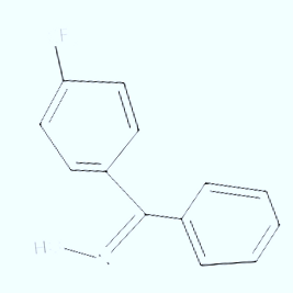 ON=C(c1ccccc1)c1ccc(C(F)(F)F)cc1